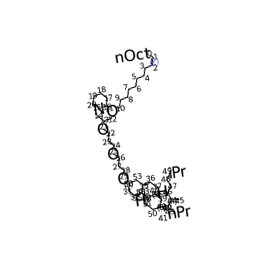 CCCCCCCC/C=C\CCCCCCCCOCC(CN1CCCCC1)OCCCOCCCO[C@H]1CC[C@@]2(C)C(=CC[C@H]3C[C@@](C)([C@H](CCC)[C@H](C)CCCC(C)C)CC[C@@H]32)C1